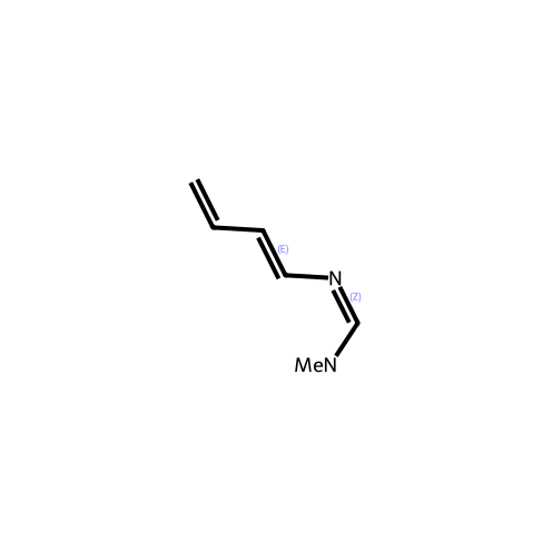 C=C/C=C/N=C\NC